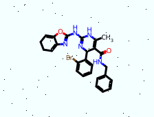 CC1=C(C(=O)NCc2ccccc2)C(c2ccccc2Br)N=C(Nc2nc3c(o2)=CCCC=3)N1